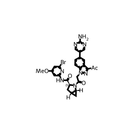 COc1cc(Br)nc(NC(=O)[C@@H]2C[C@H]3C[C@H]3N2C(=O)Cn2nc(C(C)=O)c3cc(-c4cnc(N)nc4)ccc32)c1